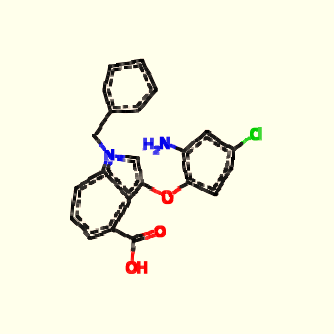 Nc1cc(Cl)ccc1Oc1cn(Cc2ccccc2)c2cccc(C(=O)O)c12